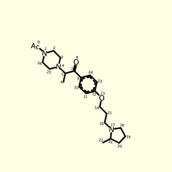 CC(=O)N1CCN(C(C)C(=O)c2ccc(OCCCN3CCCC3C)cc2)CC1